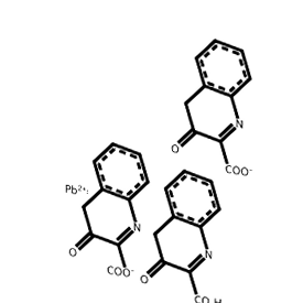 O=C(O)C1=Nc2ccccc2CC1=O.O=C([O-])C1=Nc2ccccc2CC1=O.O=C([O-])C1=Nc2ccccc2CC1=O.[Pb+2]